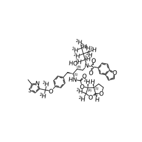 [2H]C([2H])(Oc1ccc(C[C@H](NC(=O)O[C@]2([2H])[C@@H]3CCO[C@@H]3OC2([2H])[2H])[C@H](O)CN(C([2H])([2H])C([2H])(C([2H])([2H])[2H])C([2H])([2H])[2H])S(=O)(=O)c2ccc3occc3c2)cc1)c1csc(C)n1